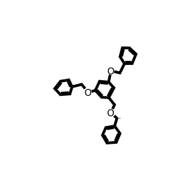 [CH](OCc1cc(OCc2ccccc2)cc(OCc2ccccc2)c1)c1ccccc1